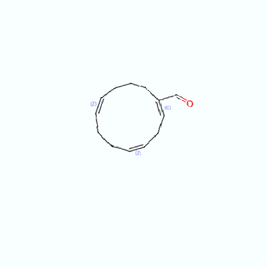 O=C/C1=C/C/C=C\CC/C=C\CCC1